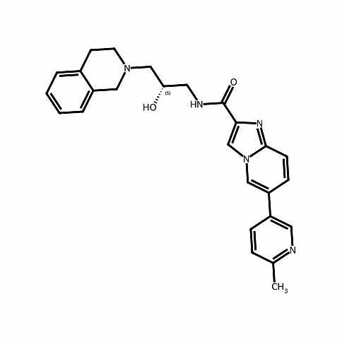 Cc1ccc(-c2ccc3nc(C(=O)NC[C@H](O)CN4CCc5ccccc5C4)cn3c2)cn1